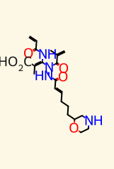 C=CC(=O)NC(=C(C)C(=O)O)N(NC(=O)C=CCCCC1CNCCO1)C(=O)C(=C)C